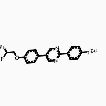 CCCCc1ccc(-c2ncc(-c3ccc(OCC(F)CCC)cc3)cn2)cc1